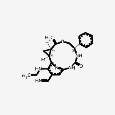 C=C1OC[C@H](c2ccccc2)NC(=O)Nc2cc(C=N)c(NCC)c(n2)[C@H]2C[C@@H]12